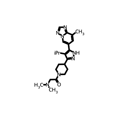 Cc1cc(-c2[nH]nc(C3CCN(C(=O)CN(C)C)CC3)c2C(C)C)cn2ncnc12